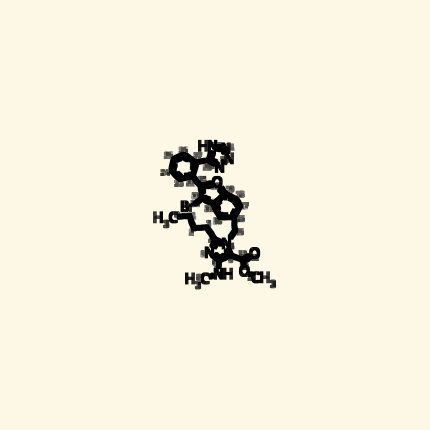 CCCCc1nc(NC)c(C(=O)OC)n1Cc1ccc2oc(-c3ccccc3-c3nnn[nH]3)c(Br)c2c1